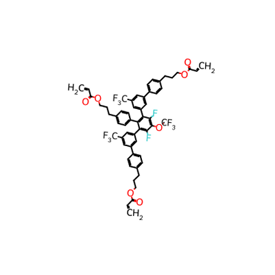 C=CC(=O)OCCCc1ccc(-c2cc(-c3c(F)c(OC(F)(F)F)c(F)c(-c4cc(-c5ccc(CCCOC(=O)C=C)cc5)cc(C(F)(F)F)c4)c3-c3ccc(CCCOC(=O)C=C)cc3)cc(C(F)(F)F)c2)cc1